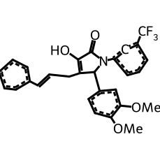 COc1ccc(C2C(CC=Cc3ccccc3)=C(O)C(=O)N2c2cccc(C(F)(F)F)c2)cc1OC